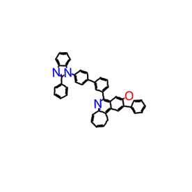 C1=CCc2c(nc(-c3cccc(-c4ccc(-n5c(-c6ccccc6)nc6ccccc65)cc4)c3)c3cc4oc5ccccc5c4cc23)C=C1